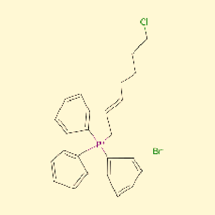 ClCCCCC=CC[P+](c1ccccc1)(c1ccccc1)c1ccccc1.[Br-]